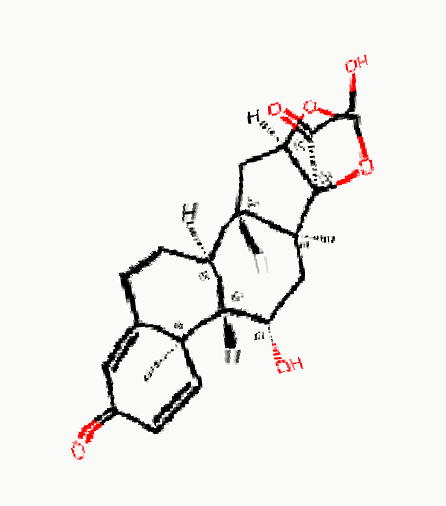 C[C@]12C=CC(=O)C=C1CC[C@@H]1[C@@H]2[C@@H](O)C[C@@]2(C)[C@H]1C[C@H]1OCO[C@]12C(=O)CO